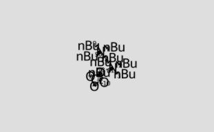 CCCC[N+](CCCC)(CCCC)CCCC.CCCC[N+](CCCC)(CCCC)CCCC.[O]=[Cr](=[O])([O-])[O-]